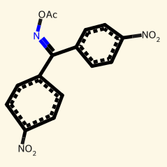 CC(=O)ON=C(c1ccc([N+](=O)[O-])cc1)c1ccc([N+](=O)[O-])cc1